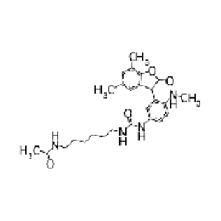 CNc1ccc(NC(=O)NCCCCCCNC(C)=O)cc1C1C(=O)Oc2c(C)cc(C)cc21